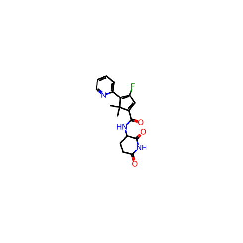 CC1(C)C(C(=O)NC2CCC(=O)NC2=O)=CC(F)=C1c1ccccn1